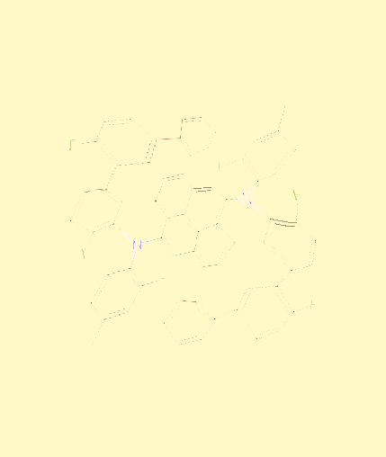 Cc1ccc(N(c2cc(-c3cc(-c4ccccc4)ccc3F)ccc2F)c2cc3cccc4c(N(c5ccc(C)cc5F)c5cc(-c6cc(-c7ccccc7)ccc6F)ccc5F)cc5cccc2c5c34)c(F)c1